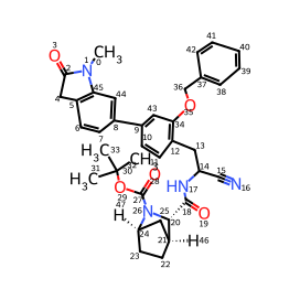 CN1C(=O)Cc2ccc(-c3ccc(CC(C#N)NC(=O)[C@@H]4[C@H]5CC[C@H](C5)N4C(=O)OC(C)(C)C)c(OCc4ccccc4)c3)cc21